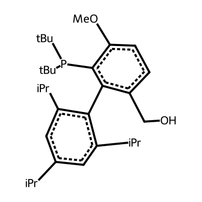 COc1ccc(CO)c(-c2c(C(C)C)cc(C(C)C)cc2C(C)C)c1P(C(C)(C)C)C(C)(C)C